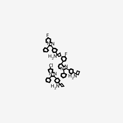 NC1(c2ccc(-c3nc4c(-c5ccc(F)cc5)cccn4c3-c3ccccc3)cc2)CCC1.NC1(c2ccc(-c3nc4cc(Cl)ccn4c3-c3ccccc3)cc2)CCC1.NC1(c2ccc(-c3nc4cc(F)ccn4c3-c3ccccc3)cc2)CCC1